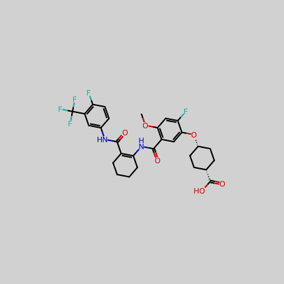 COc1cc(F)c(O[C@H]2CC[C@@H](C(=O)O)CC2)cc1C(=O)NC1=C(C(=O)Nc2ccc(F)c(C(F)(F)F)c2)CCCC1